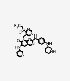 O=c1c(Nc2cccnc2)cc2cnc(Nc3ccc(NC4CCCNC4)cc3)nc2n1Cc1cncnc1[S+]([O-])CC(F)(F)F